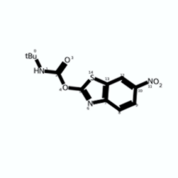 CC(C)(C)NC(=O)Oc1nc2ccc([N+](=O)[O-])cc2s1